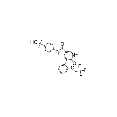 Cn1cc2c(c(-c3ccccc3OCC(F)(F)F)c1=O)CN(c1ccc(C(C)(C)O)cc1)C2=O